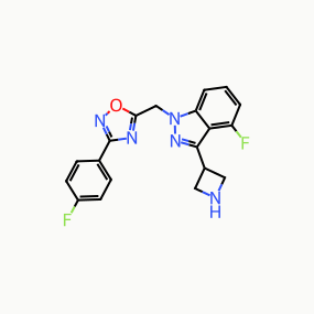 Fc1ccc(-c2noc(Cn3nc(C4CNC4)c4c(F)cccc43)n2)cc1